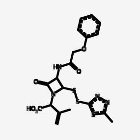 C=C(C)C(C(=O)O)N1C(=O)C(NC(=O)COc2ccccc2)C1SSc1nnc(C)s1